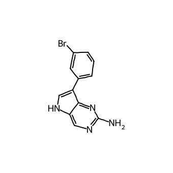 Nc1ncc2[nH]cc(-c3cccc(Br)c3)c2n1